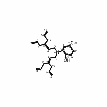 C=CCC(=CCN(CC=C(CC=C)CC=C)c1ccccc1O)CC=C.Cl